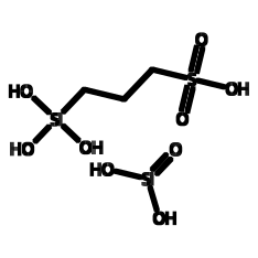 O=S(=O)(O)CCC[Si](O)(O)O.O=[Si](O)O